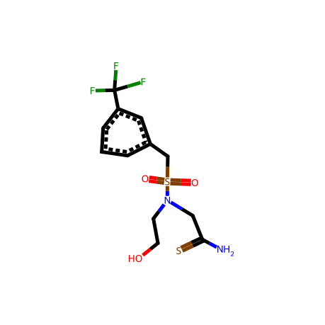 NC(=S)CN(CCO)S(=O)(=O)Cc1cccc(C(F)(F)F)c1